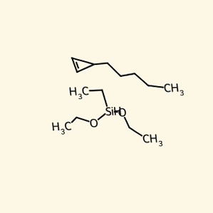 CCCCCC1C=C1.CCO[SiH](CC)OCC